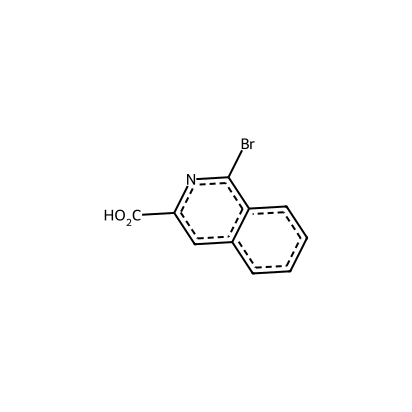 O=C(O)c1cc2ccccc2c(Br)n1